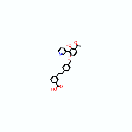 CC(=O)c1ccc(OCc2ccc(CCc3cccc(C(=O)O)c3)cc2)c(-c2cccnc2)c1O